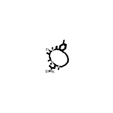 C=C(/C=C1/N(C)CCCCCCc2ccc(C)cc2C(=C)N(C)C(CC)C(=C)/C=C(/C)N1C)NCC